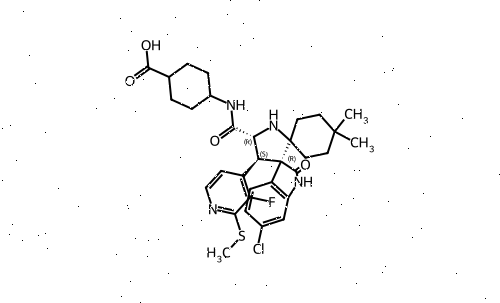 CSc1nccc([C@H]2[C@H](C(=O)NC3CCC(C(=O)O)CC3)NC3(CCC(C)(C)CC3)[C@@]23C(=O)Nc2cc(Cl)ccc23)c1F